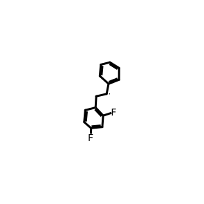 Fc1ccc(C[CH]c2ccccc2)c(F)c1